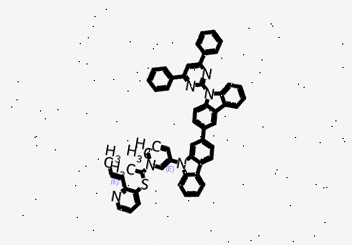 C=C/C(=C\N(C)C(C)Sc1cccnc1/C=C/C)n1c2ccccc2c2ccc(-c3ccc4c(c3)c3ccccc3n4-c3nc(-c4ccccc4)cc(-c4ccccc4)n3)cc21